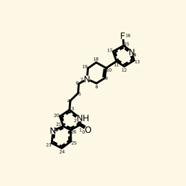 O=c1[nH]c(CCCN2CC=C(c3ccnc(F)c3)CC2)cc2ncccc12